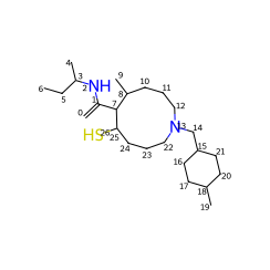 C=C(NC(C)CC)C1C(C)CCCN(CC2CCC(C)CC2)CCCC1S